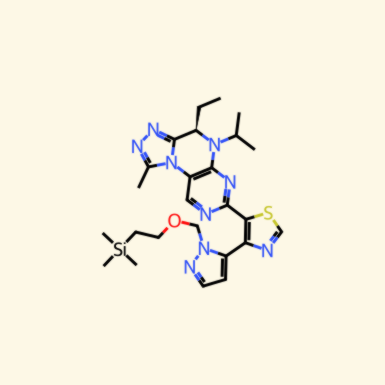 CC[C@@H]1c2nnc(C)n2-c2cnc(-c3scnc3-c3ccnn3COCC[Si](C)(C)C)nc2N1C(C)C